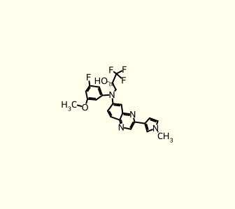 COc1cc(F)cc(N(C[C@H](O)C(F)(F)F)c2ccc3ncc(-c4ccn(C)c4)nc3c2)c1